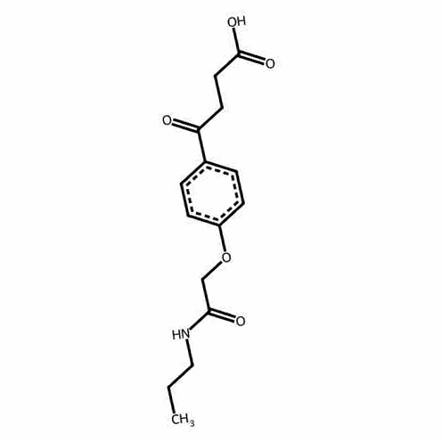 CCCNC(=O)COc1ccc(C(=O)CCC(=O)O)cc1